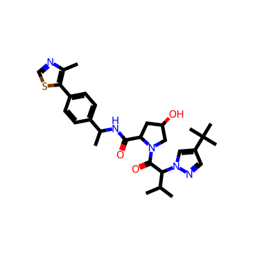 Cc1ncsc1-c1ccc(C(C)NC(=O)C2CC(O)CN2C(=O)C(C(C)C)n2cc(C(C)(C)C)cn2)cc1